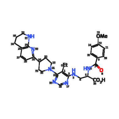 CCc1c(NCC(NC(=O)c2ccc(OC)cc2)C(=O)O)ncnc1N1CCC(c2ccc3c(n2)NCCC3)CC1